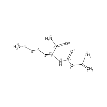 C=C(C)OC(=O)N[C@@H](CCCCN)C(N)=O